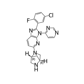 Fc1ccc(Cl)cc1-c1nc2ccc(N3C[C@H]4C[C@@H]3CN4)nc2n1-c1ccncn1